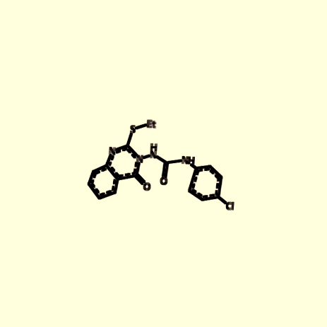 CCSc1nc2ccccc2c(=O)n1NC(=O)Nc1ccc(Cl)cc1